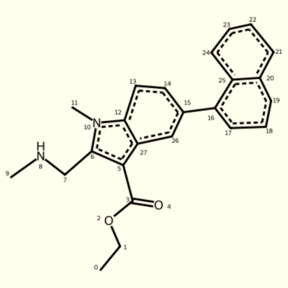 CCOC(=O)c1c(CNC)n(C)c2ccc(-c3cccc4ccccc34)cc12